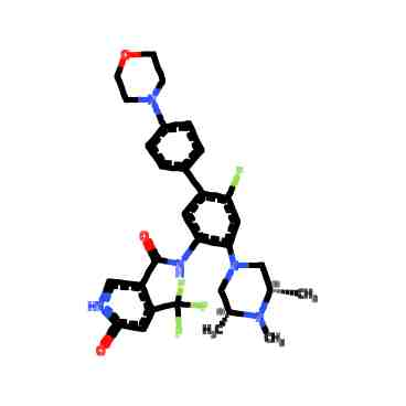 C[C@@H]1CN(c2cc(F)c(-c3ccc(N4CCOCC4)cc3)cc2NC(=O)c2c[nH]c(=O)cc2C(F)(F)F)C[C@H](C)N1C